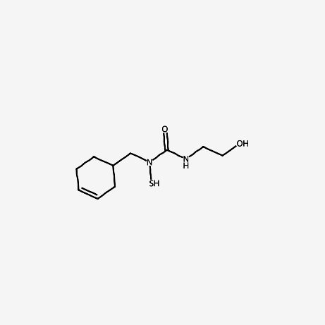 O=C(NCCO)N(S)CC1CC=CCC1